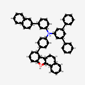 c1ccc(-c2cc(-c3ccccc3)cc(N(c3ccc(-c4cccc5oc6c7ccccc7ccc6c45)cc3)c3cccc(-c4ccc5ccccc5c4)c3)c2)cc1